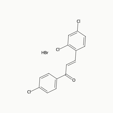 Br.O=C(/C=C/c1ccc(Cl)cc1Cl)c1ccc(Cl)cc1